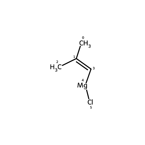 CC(C)=[CH][Mg][Cl]